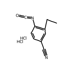 CCc1cc(C#N)ccc1N=C=O.Cl.Cl